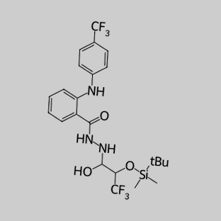 CC(C)(C)[Si](C)(C)OC(C(O)NNC(=O)c1ccccc1Nc1ccc(C(F)(F)F)cc1)C(F)(F)F